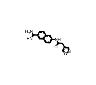 N=C(N)c1ccc2cc(NC(=O)Cc3cnoc3)ccc2c1